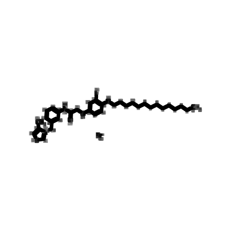 CCCCCCCCCCCCCCOc1ccc(OCC(=O)Nc2cccc(C[n+]3cscc3C)c2)cc1F.[Br-]